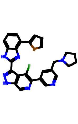 Fc1c(-c2cncc(CN3CCCC3)c2)ncc2[nH]nc(-c3nc4c(-c5cccs5)cccc4[nH]3)c12